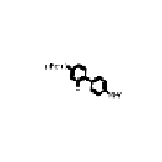 CCCCCc1ccc(-c2ccc(CCC)cc2)c(F)c1